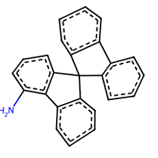 Nc1cccc2c1-c1ccccc1C21c2ccccc2-c2ccccc21